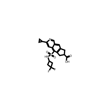 O=C(O)C1Cc2cc3cnc(C4CC4)cc3c(S(=O)(=O)NC3CC(F)(F)C3)c2C1